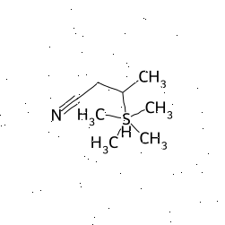 CC(CC#N)[SH](C)(C)(C)C